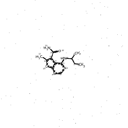 CCC(C)Nc1ncnc2oc(C)c(C(N)=O)c12